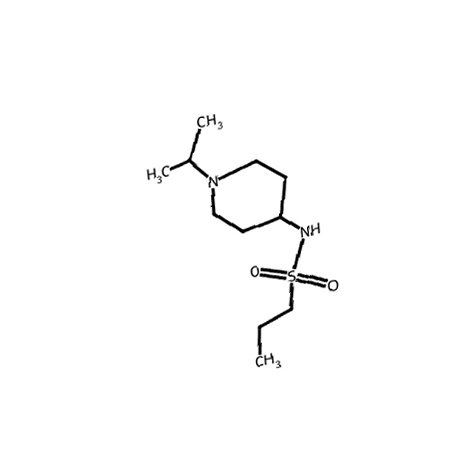 CCCS(=O)(=O)NC1CCN(C(C)C)CC1